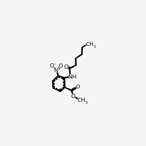 CCCCCC(=O)Nc1c(C(=O)OC)cccc1[N+](=O)[O-]